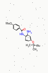 COc1ccc(C(=O)Nc2ccc(O[Si](C)(C)C(C)(C)C)cc2N)cc1